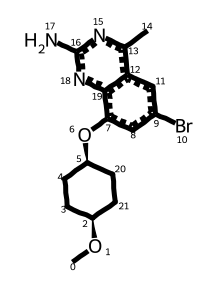 CO[C@H]1CC[C@@H](Oc2cc(Br)cc3c(C)nc(N)nc23)CC1